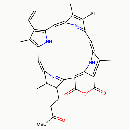 C=Cc1c(C)c2cc3nc(c4c5[nH]c(cc6nc(cc1[nH]2)C(C)=C6CC)c(C)c5C(=O)OC4=O)C(CCC(=O)OC)C3C